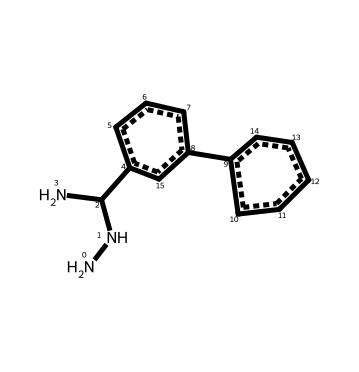 NNC(N)c1cccc(-c2ccccc2)c1